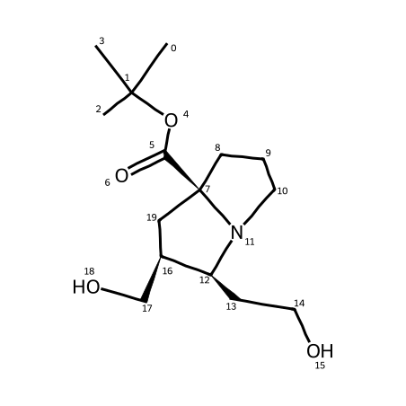 CC(C)(C)OC(=O)[C@@]12CCCN1[C@@H](CCO)[C@@H](CO)C2